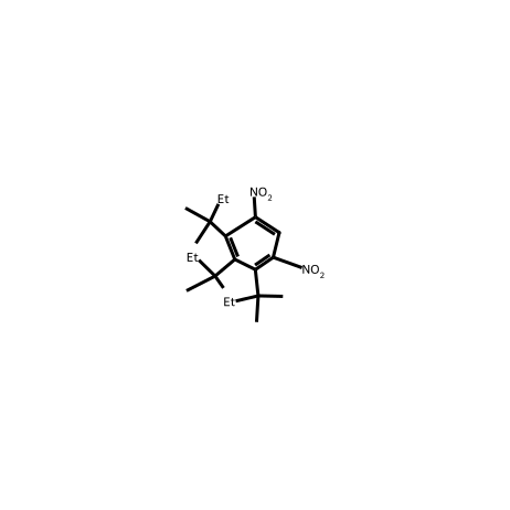 CCC(C)(C)c1c([N+](=O)[O-])cc([N+](=O)[O-])c(C(C)(C)CC)c1C(C)(C)CC